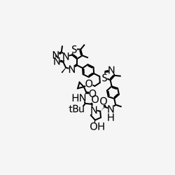 Cc1ncsc1-c1ccc(C(C)NC(=O)[C@@H]2C[C@@H](O)CN2C(=O)C(NC(=O)C2(OCCCc3ccc(C4=N[C@@H](C)c5nnc(C)n5-c5sc(C)c(C)c54)cc3)CC2)C(C)(C)C)cc1